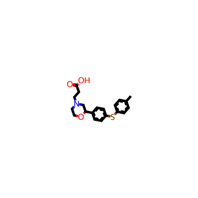 Cc1ccc(Sc2ccc(C3CN(CCC(=O)O)CCO3)cc2)cc1